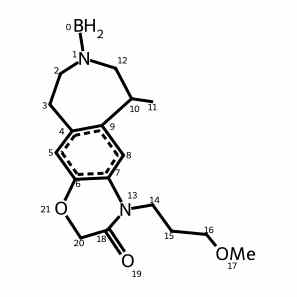 BN1CCc2cc3c(cc2C(C)C1)N(CCCOC)C(=O)CO3